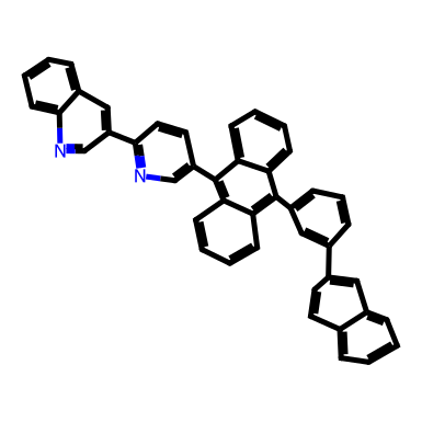 c1cc(-c2ccc3ccccc3c2)cc(-c2c3ccccc3c(-c3ccc(-c4cnc5ccccc5c4)nc3)c3ccccc23)c1